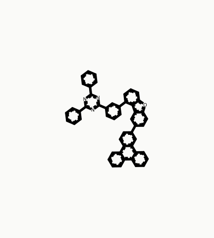 c1ccc(-c2nc(-c3ccccc3)nc(-c3cccc(-c4cccc5oc6ccc(-c7ccc8c9ccccc9c9ccccc9c8c7)cc6c45)c3)n2)cc1